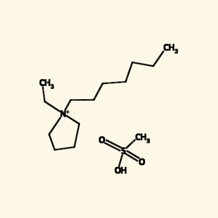 CCCCCCC[N+]1(CC)CCCC1.CS(=O)(=O)O